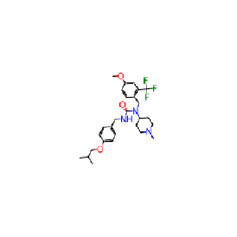 COc1ccc(CN(C(=O)NCc2ccc(OCC(C)C)cc2)C2CCN(C)CC2)c(C(F)(F)F)c1